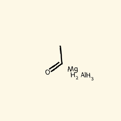 CC=O.[AlH3].[MgH2]